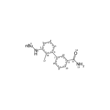 CCCCNc1cccc(-c2cccc(C(N)=O)c2)c1C